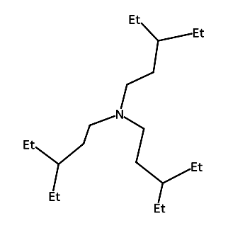 CCC(CC)CCN(CCC(CC)CC)CCC(CC)CC